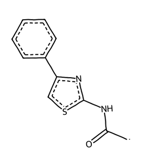 [CH2]C(=O)Nc1nc(-c2ccccc2)cs1